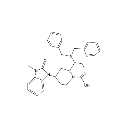 CCC(C1CC(n2c(=O)n(C)c3ccccc32)CCN1C(=O)O)N(Cc1ccccc1)Cc1ccccc1